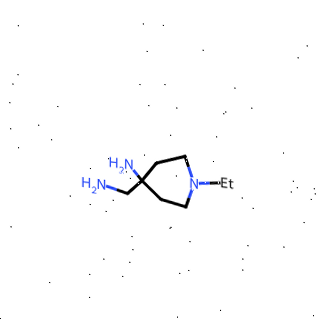 CCN1CCC(N)(CN)CC1